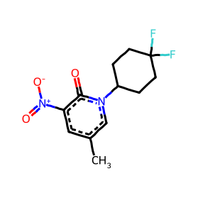 Cc1cc([N+](=O)[O-])c(=O)n(C2CCC(F)(F)CC2)c1